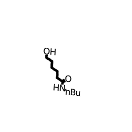 CCCCNC(=O)CCCCCO